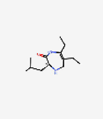 CCC1=C(CC)NC(=O)[C@H](CC(C)C)NC1